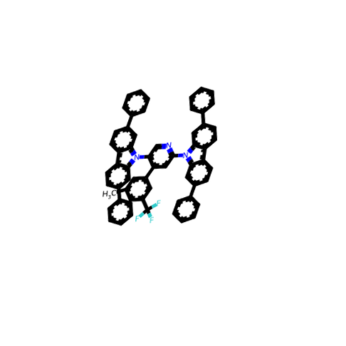 Cc1cc(-c2cc(-n3c4cc(-c5ccccc5)ccc4c4ccc(-c5ccccc5)cc43)ncc2-n2c3cc(-c4ccccc4)ccc3c3ccc(-c4ccccc4)cc32)cc(C(F)(F)F)c1